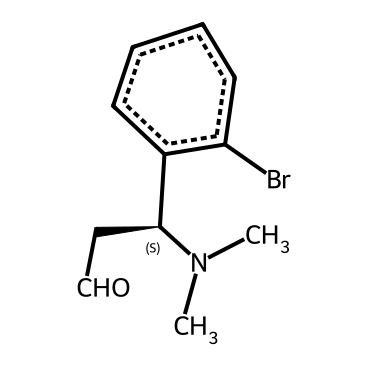 CN(C)[C@@H](CC=O)c1ccccc1Br